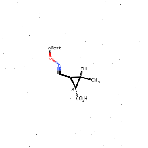 CCCCCON=CC1[C@@H](C(=O)O)C1(C)C